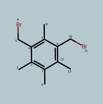 Cc1c(C)c(CBr)c(C)c(CBr)c1C